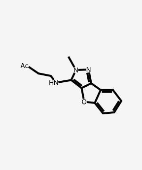 CC(=O)CCNc1c2oc3ccccc3c2nn1C